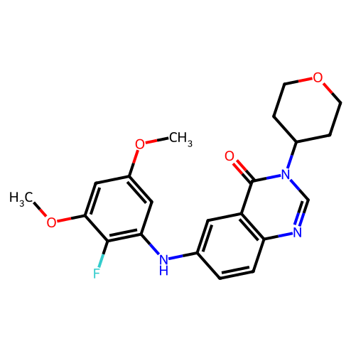 COc1cc(Nc2ccc3ncn(C4CCOCC4)c(=O)c3c2)c(F)c(OC)c1